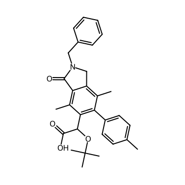 Cc1ccc(-c2c(C)c3c(c(C)c2C(OC(C)(C)C)C(=O)O)C(=O)N(Cc2ccccc2)C3)cc1